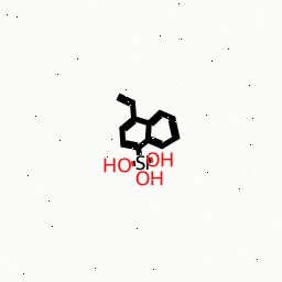 C=Cc1ccc([Si](O)(O)O)c2ccccc12